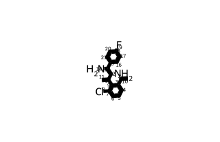 C=C(N)c1cccc(Cl)c1C(=C)/C=C(\N)c1ccc(F)cc1